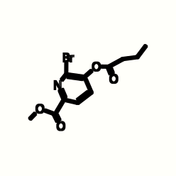 CCCC(=O)Oc1ccc(C(=O)OC)nc1Br